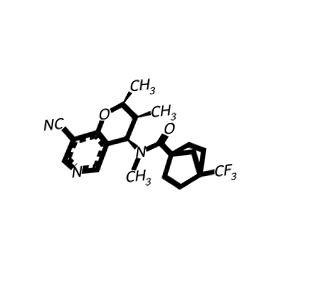 C[C@@H]1[C@H](C)Oc2c(C#N)cncc2[C@@H]1N(C)C(=O)C12CCC(C(F)(F)F)(CC1)C2